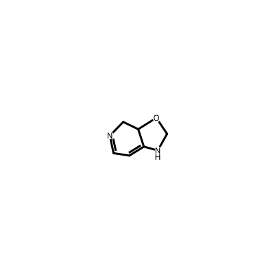 C1=NCC2OCNC2=C1